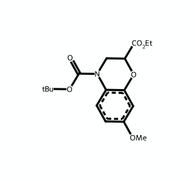 CCOC(=O)C1CN(C(=O)OC(C)(C)C)c2ccc(OC)cc2O1